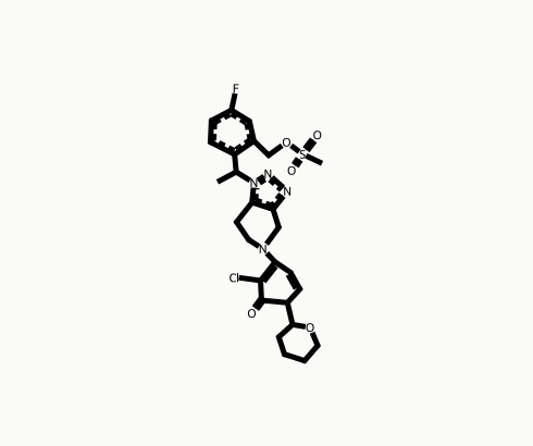 CC(c1ccc(F)cc1COS(C)(=O)=O)n1nnc2c1CCN(C1=C(Cl)C(=O)C(C3CCCCO3)C=C1)C2